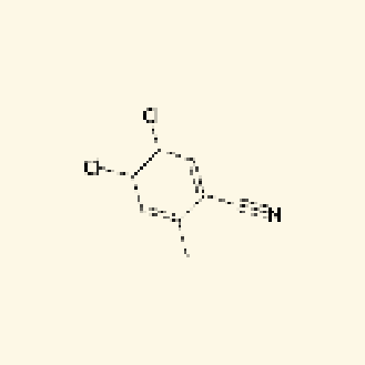 CC1=CC(Cl)C(Cl)C=C1C#N